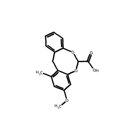 COc1cc(C)c2c(c1)OC(C(=O)O)Oc1ccccc1C2